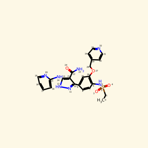 CCS(=O)(=O)Nc1ccc(-c2n[nH]c(Nc3ccccn3)c2C(N)=O)cc1OCc1ccncc1